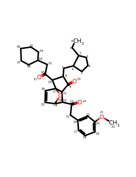 CCC1CCCC1CC1C(=O)C2C(C(=O)Cc3cccc(OC)c3)C3C=CC2(O3)C1C(=O)CC1CCCCC1